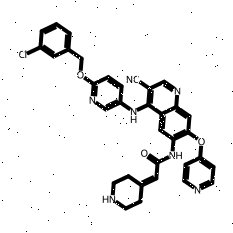 N#Cc1cnc2cc(Oc3ccncc3)c(NC(=O)C=C3CCNCC3)cc2c1Nc1ccc(OCc2cccc(Cl)c2)nc1